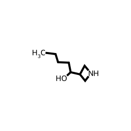 CCCCC(O)C1CNC1